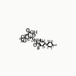 Cc1ccc(-c2cnc(C(=O)NCC(=O)N3CC4(CC3C(=O)O)OCCO4)c(F)c2)cc1